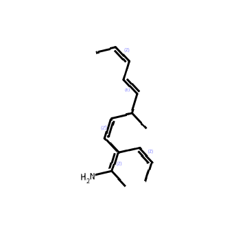 C/C=C\C=C\C(C)\C=C/C(/C=C\C)=C(/C)N